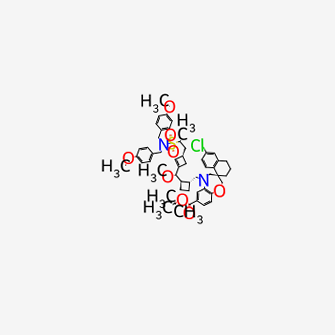 COc1ccc(CN(Cc2ccc(OC)cc2)S(=O)(=O)[C@H](C)C[C@@H]2C=C([C@@H](OC)[C@@H]3CC[C@H]3CN3C[C@@]4(CCCc5cc(Cl)ccc54)COc4ccc(C(=O)OC(C)(C)C)cc43)C2)cc1